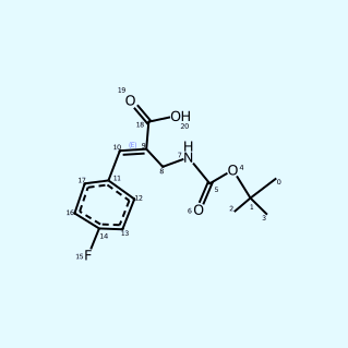 CC(C)(C)OC(=O)NC/C(=C\c1ccc(F)cc1)C(=O)O